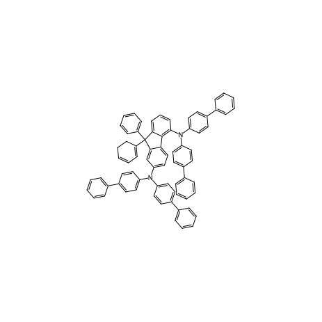 C1=CCCC(C2(c3ccccc3)c3cc(N(c4ccc(-c5ccccc5)cc4)c4ccc(-c5ccccc5)cc4)ccc3-c3c(N(c4ccc(-c5ccccc5)cc4)c4ccc(-c5ccccc5)cc4)cccc32)=C1